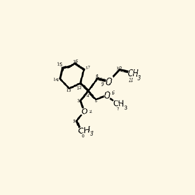 CCOCC(COC)(COCC)C1CCCCC1